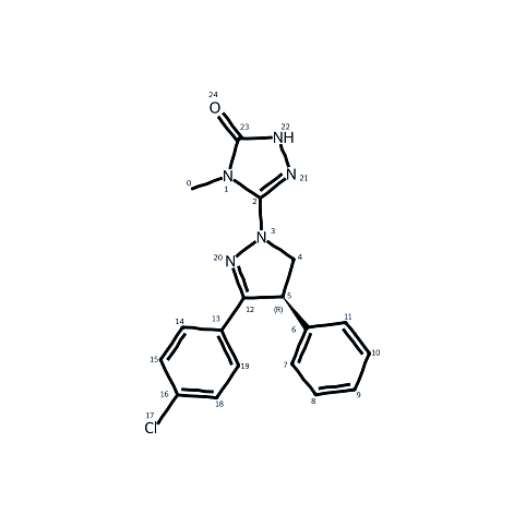 Cn1c(N2C[C@@H](c3ccccc3)C(c3ccc(Cl)cc3)=N2)n[nH]c1=O